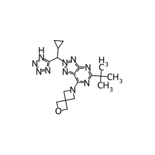 CC(C)(C)c1nc(N2CC3(COC3)C2)c2nn(C(c3nnn[nH]3)C3CC3)nc2n1